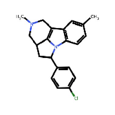 Cc1ccc2c(c1)c1c3n2C(c2ccc(Cl)cc2)CC3CN(C)C1